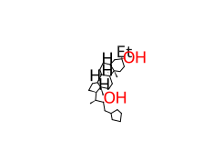 CC[C@]1(O)CC[C@@]2(C)[C@@H](CC[C@@H]3[C@@H]2CC[C@]2(C)[C@@H]([C@H](C)[C@@H](O)CC4CCCC4)CC[C@@H]32)C1